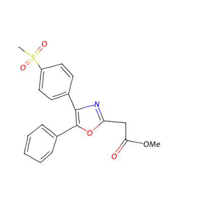 COC(=O)Cc1nc(-c2ccc(S(C)(=O)=O)cc2)c(-c2ccccc2)o1